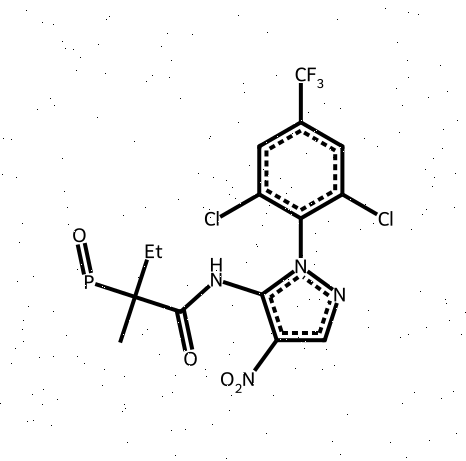 CCC(C)(P=O)C(=O)Nc1c([N+](=O)[O-])cnn1-c1c(Cl)cc(C(F)(F)F)cc1Cl